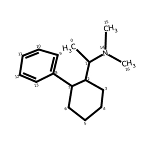 CC(C1CCCCC1c1ccccc1)N(C)C